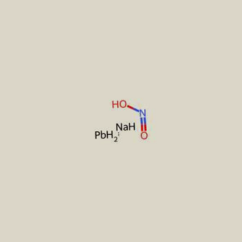 O=NO.[NaH].[PbH2]